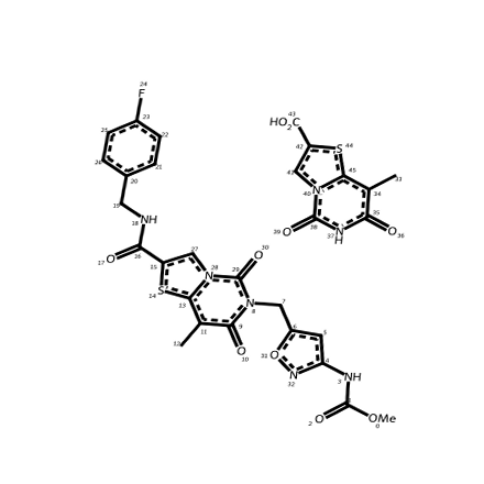 COC(=O)Nc1cc(Cn2c(=O)c(C)c3sc(C(=O)NCc4ccc(F)cc4)cn3c2=O)on1.Cc1c(=O)[nH]c(=O)n2cc(C(=O)O)sc12